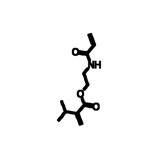 C=CC(=O)NCCOC(=O)C(=C)C(C)C